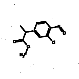 CC(C(=O)OP)c1ccc(N=O)c(Cl)c1